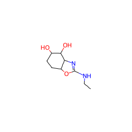 CCNC1=NC2C(CCC(O)C2O)O1